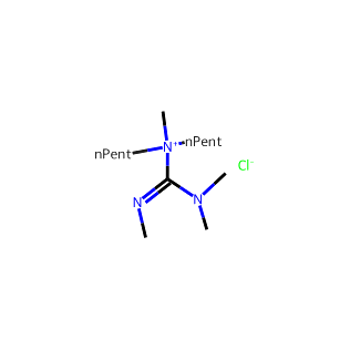 CCCCC[N+](C)(CCCCC)C(=NC)N(C)C.[Cl-]